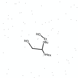 CCCCCCC(CO)CCCC.CCO